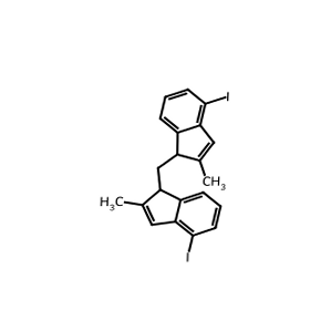 CC1=Cc2c(I)cccc2C1CC1C(C)=Cc2c(I)cccc21